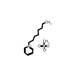 CCCCCCCC[n+]1ccccc1.CS(=O)(=O)[O-]